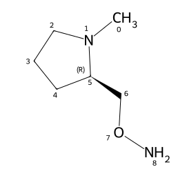 CN1CCC[C@@H]1CON